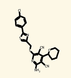 N#Cc1c(N)nc(SCc2csc(-c3ccc(Cl)cc3)n2)c(C#N)c1C1CCCCO1